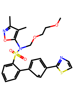 COCCOCN(c1onc(C)c1C)S(=O)(=O)c1ccccc1-c1ccc(-c2nccs2)cc1